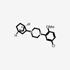 COc1ccc(Cl)cc1N1CCN(C2C[C@@H]3CC[C@@H]2C3)CC1